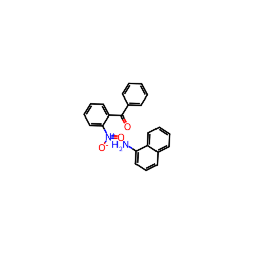 Nc1cccc2ccccc12.O=C(c1ccccc1)c1ccccc1[N+](=O)[O-]